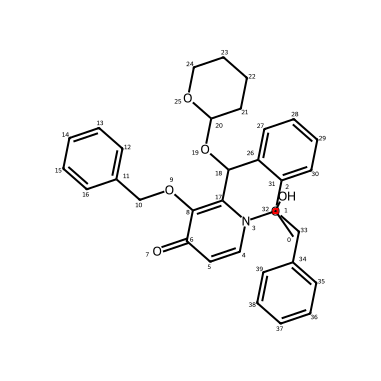 CC(O)n1ccc(=O)c(OCc2ccccc2)c1C(OC1CCCCO1)c1ccccc1OCc1ccccc1